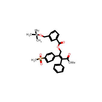 COC(=O)/C(=C(\COC(=O)c1cccc(CO[Si](C)(C)C(C)(C)C)c1)c1ccc(S(C)(=O)=O)cc1)c1ccccc1